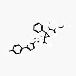 CCOC(=O)C(SC)[C@@]1(c2ccccc2)C[C@]1(NS(=O)(=O)c1ccc(-c2ccc(Cl)cc2)s1)C(=O)O